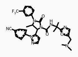 CC1C(c2ccnn2-c2ccc(C#N)cc2)N(C(=O)NC(C)(C)c2ncc(CN(C)C)o2)C(=O)N1c1cccc(C(F)(F)F)c1